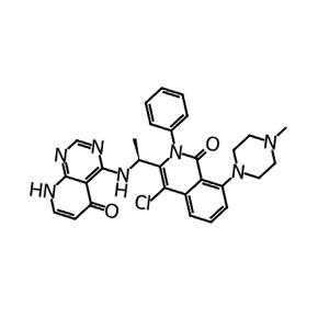 C[C@H](Nc1ncnc2[nH]ccc(=O)c12)c1c(Cl)c2cccc(N3CCN(C)CC3)c2c(=O)n1-c1ccccc1